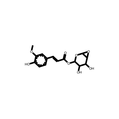 COc1cc(/C=C/C(=O)OC2OC3OC3C(O)C2O)ccc1O